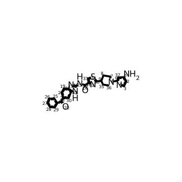 Nc1ccnc(N2CCC(c3nc(C(=O)Nc4nc5ccc(C(=O)c6ccccc6)cc5[nH]4)cs3)CC2)c1